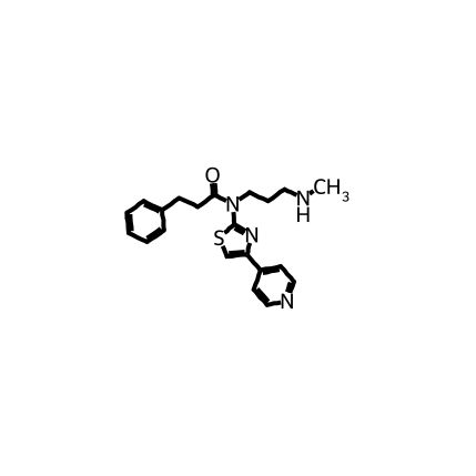 CNCCCN(C(=O)CCc1ccccc1)c1nc(-c2ccncc2)cs1